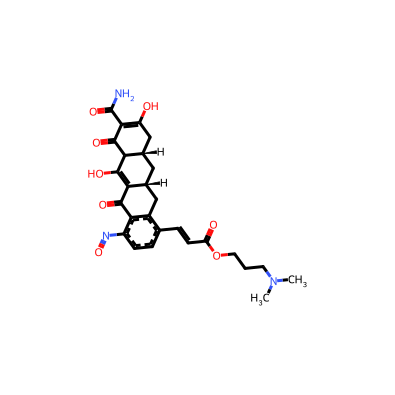 CN(C)CCCOC(=O)/C=C/c1ccc(N=O)c2c1C[C@H]1C[C@H]3CC(O)=C(C(N)=O)C(=O)C3C(O)=C1C2=O